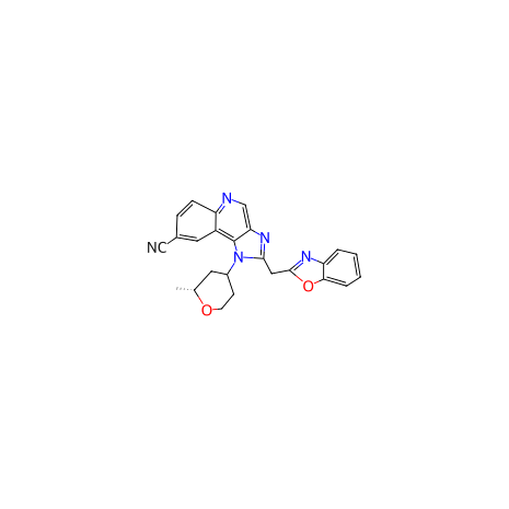 C[C@@H]1CC(n2c(Cc3nc4ccccc4o3)nc3cnc4ccc(C#N)cc4c32)CCO1